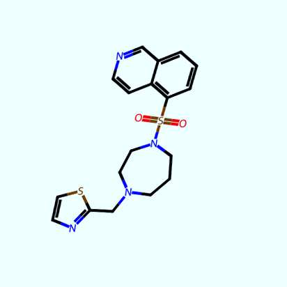 O=S(=O)(c1cccc2cnccc12)N1CCCN(Cc2nccs2)CC1